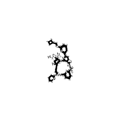 CC1(C)C[C@@H]2CC[C@H](c3ccccn3)Nc3cccc(n3)S(=O)(=O)NC(=O)c3ccc(-c4cccc(OCC5CCC5)n4)nc3N1C2